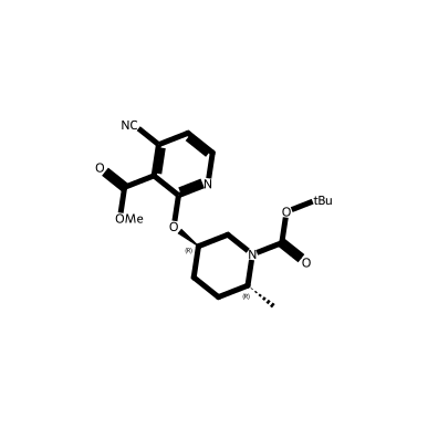 COC(=O)c1c(C#N)ccnc1O[C@@H]1CC[C@@H](C)N(C(=O)OC(C)(C)C)C1